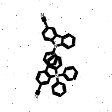 N#Cc1ccc(-c2ccc(-n3c4ccccc4c4cc(C#N)ccc43)cc2)c([Si](c2ccccc2)(c2ccccc2)c2ccccc2)c1